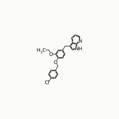 CCOc1cc(Cc2c[nH]c3ncccc23)ccc1OCc1ccc(Cl)cc1